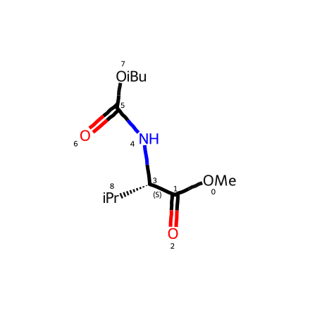 COC(=O)[C@@H](NC(=O)OCC(C)C)C(C)C